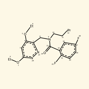 CCOc1cc(OCC)c(CN(CCC(C)C)C(=O)c2cc(F)ccc2F)nn1